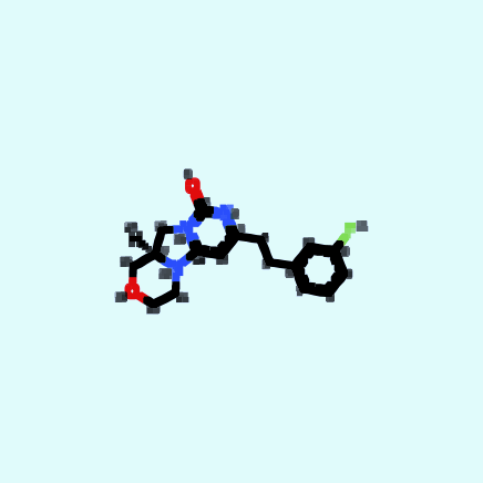 O=c1nc(CCc2cccc(F)c2)cc2n1C[C@@H]1COCCN21